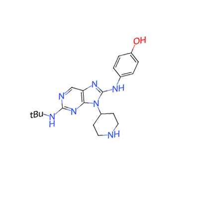 CC(C)(C)Nc1ncc2nc(Nc3ccc(O)cc3)n(C3CCNCC3)c2n1